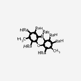 Cc1[c]([RaH])[c]([RaH])c2c([c]1[RaH])Oc1[c]([RaH])c(C)[c]([RaH])[c]([RaH])c1[N]2[RaH]